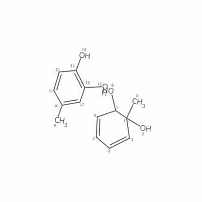 CC1(O)C=CC=CC1O.Cc1ccc(O)c(O)c1